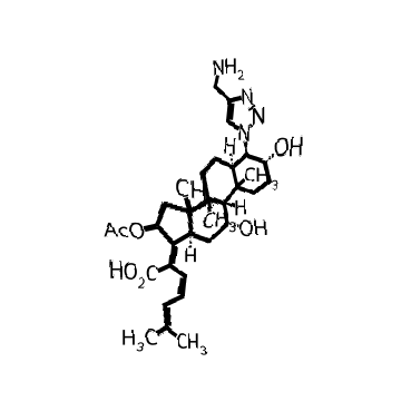 CC(=O)OC1CC2(C)[C@@H](C[C@@H](O)[C@H]3C4(C)CC[C@@H](O)[C@H](n5cc(CN)nn5)[C@@H]4CCC32C)/C1=C(\C=C/C=C(C)C)C(=O)O